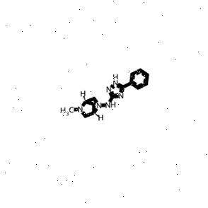 CN1C[C@H]2C[C@@H]1CN2Nc1n[nH]c(-c2ccccc2)n1